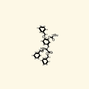 CC(C)(C)C(=O)Oc1cc(C[C@H](NOCc2ccccc2)C(=O)OCc2ccccc2)ccc1OCc1ccccc1